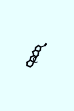 C#Cc1ccc2cc3cc4ccccc4cc3cc2c1